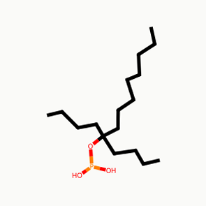 CCCCCCCCC(CCCC)(CCCC)OP(O)O